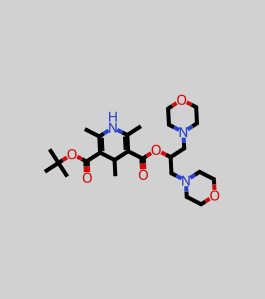 CC1=C(C(=O)OC(CN2CCOCC2)CN2CCOCC2)C(C)C(C(=O)OC(C)(C)C)=C(C)N1